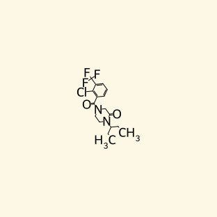 CCC(CC)N1CCN(C(=O)c2cccc(C(F)(F)F)c2Cl)CC1=O